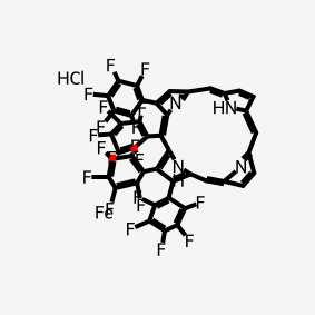 Cl.Fc1c(F)c(F)c(C2=Cc3cc4ccc(cc5nc(cc6[nH]c(c(-c7c(F)c(F)c(F)c(F)c7F)c2n3)c(-c2c(F)c(F)c(F)c(F)c2F)c6-c2c(F)c(F)c(F)c(F)c2F)C=C5)[nH]4)c(F)c1F.[Fe]